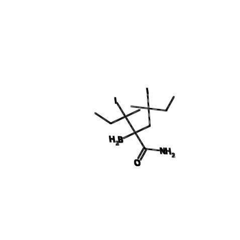 BC(CC(C)(I)CC)(C(N)=O)C(C)(I)CC